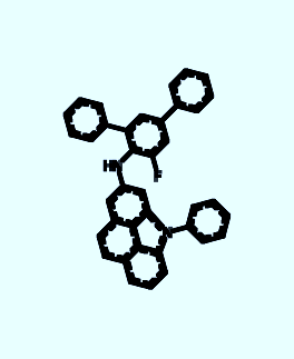 Fc1cc(-c2ccccc2)cc(-c2ccccc2)c1Nc1cc2ccc3cccc4c3c2c(c1)n4-c1ccccc1